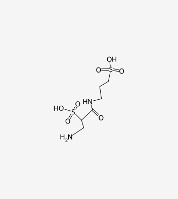 NCC(C(=O)NCCCS(=O)(=O)O)S(=O)(=O)O